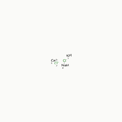 [Ca+2].[Cl-].[Cl-].[KH].[NaH]